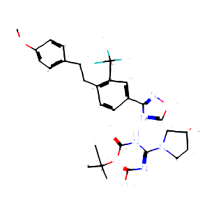 COc1ccc(CCc2ccc(-c3noc([C@@H]4[C@@H](O)CCN4/C(=N/C(=O)O)NC(=O)OC(C)(C)C)n3)cc2C(F)(F)F)cc1